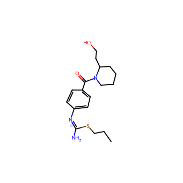 CCCS/C(N)=N\c1ccc(C(=O)N2CCCCC2CCO)cc1